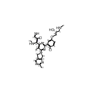 CNC[C@@H](O)COc1ccc(Cl)c(-c2nc(/C(NC)=C(\Cl)C=N)c(C)c(N3Cc4cnc(C)nc4C3)n2)c1